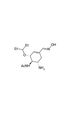 CCC(CC)O[C@@H]1C=C(/C=N/O)C[C@H](N)[C@H]1NC(C)=O